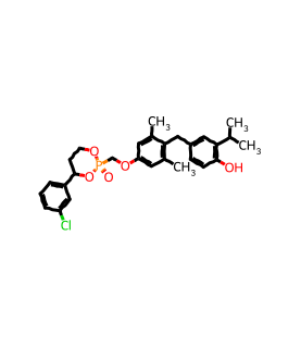 Cc1cc(OCP2(=O)OCCC(c3cccc(Cl)c3)O2)cc(C)c1Cc1ccc(O)c(C(C)C)c1